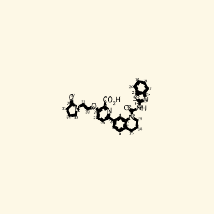 O=C(O)c1nc(-c2ccc3c(c2)N(C(=O)Nc2nc4ccccc4s2)CCC3)ccc1OCCN1CCCC1=O